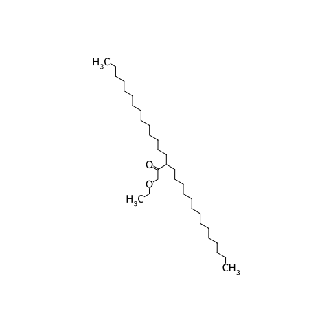 CCCCCCCCCCCCCCC(CCCCCCCCCCCCCC)C(=O)COCC